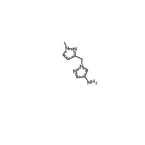 Cn1ccc(Cn2cc(N)cn2)n1